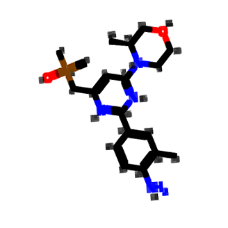 C=S(C)(=O)Cc1cc(N2CCOC[C@@H]2C)nc(-c2ccc(N)c(C)c2)n1